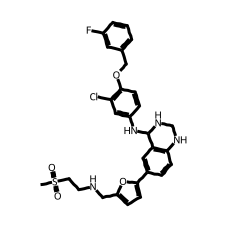 CS(=O)(=O)CCNCc1ccc(-c2ccc3c(c2)C(Nc2ccc(OCc4cccc(F)c4)c(Cl)c2)NCN3)o1